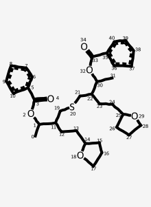 CC(OC(=O)c1ccccc1)C(CCC1CCCO1)CSCC(CCC1CCCO1)C(C)OC(=O)c1ccccc1